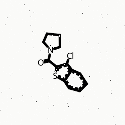 O=C(c1sc2ccccc2c1Cl)N1CCCC1